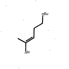 CCCCCCC=C(C)CCC